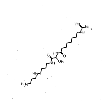 N=C(N)NCCCCCCCC(=O)NC(O)C(=O)NCCCCNCCCN